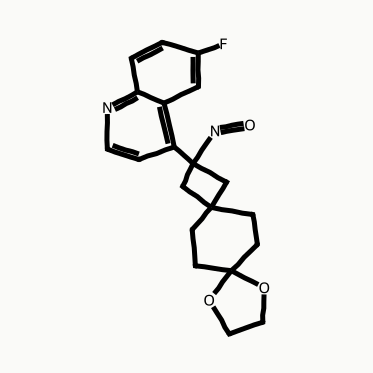 O=NC1(c2ccnc3ccc(F)cc23)CC2(CCC3(CC2)OCCO3)C1